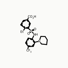 CCc1ccc(C(=O)O)cc1S(=O)(=O)Nc1ccc(C(F)(F)F)cc1N1CCCCC1